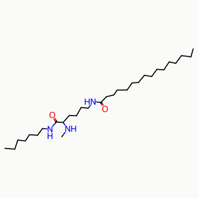 CCCCCCCCCCCCCCCC(=O)NCCCCC(NC)C(=O)NCCCCCCC